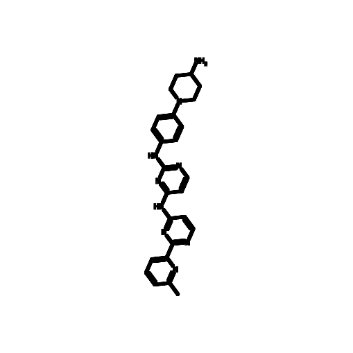 Cc1cccc(-c2nccc(Nc3ccnc(Nc4ccc(N5CCC(N)CC5)cc4)n3)n2)n1